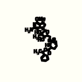 COc1nc(N)nc2c1ncn2[C@@H]1OC(CO[P@]2(=O)NC(C(=O)O[C@H](C)c3ccccc3)CCS2)[C@@H](O)[C@@]1(C)O